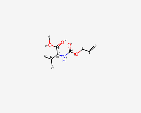 C=CCOC(=O)N[C@H](C(=O)OC)C(C)C